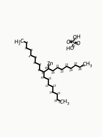 CCCCCCCCCC(CCCCCCCC)[CH]([Zn])CCCCCCCC.O=S(=O)(O)O